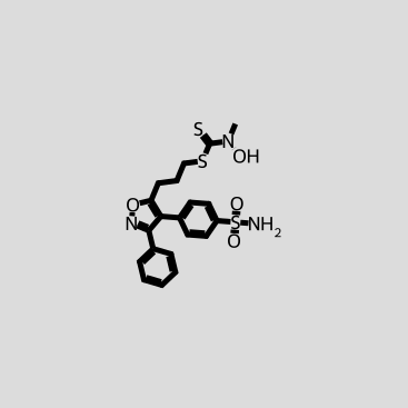 CN(O)C(=S)SCCCc1onc(-c2ccccc2)c1-c1ccc(S(N)(=O)=O)cc1